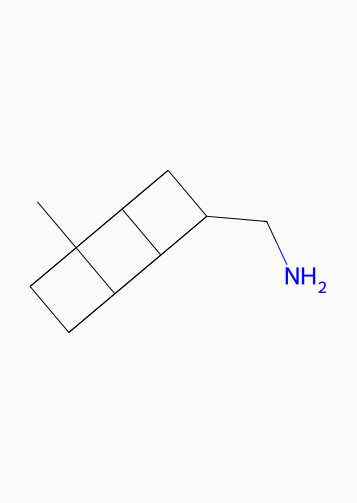 CC12C3C4C1C1C2C3C41CN